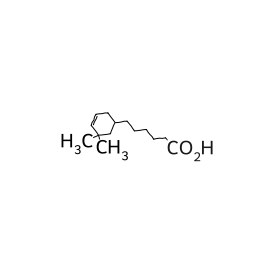 CC1(C)C=CCC(CCCCCC(=O)O)C1